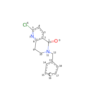 O=C1c2ccc(Cl)nc2CCN1Cc1ccccc1